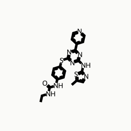 CCNC(=O)Nc1ccc(Sc2nc(Nc3ncc(C)s3)nc(-c3ccncc3)n2)cc1